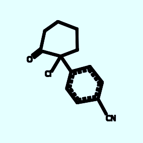 N#Cc1ccc(C2(Cl)CCCCC2=O)cc1